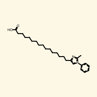 Cc1nc(CCCCCCCCCCCCCCCC(=O)O)cn1-c1ccccc1